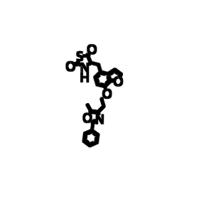 Cc1oc(-c2ccccc2)nc1CCOc1ccc(CC2NC(=O)SC2=O)c2ccoc12